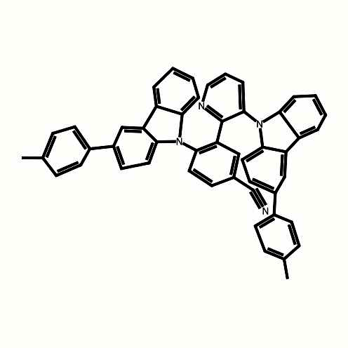 Cc1ccc(-c2ccc3c(c2)c2ccccc2n3-c2ccc(C#N)cc2-c2ncccc2-n2c3ccccc3c3cc(-c4ccc(C)cc4)ccc32)cc1